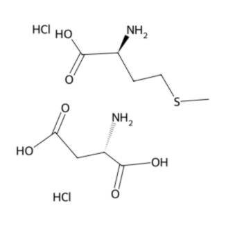 CSCC[C@H](N)C(=O)O.Cl.Cl.N[C@@H](CC(=O)O)C(=O)O